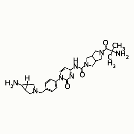 CC(C)(N)C(=O)N1CC2CN(C(=O)Nc3ccn(-c4ccc(CN5CC6C(N)[C@@H]6C5)cc4)c(=O)n3)CC2C1